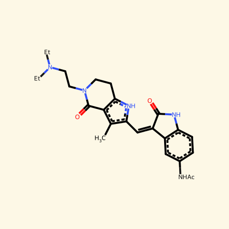 CCN(CC)CCN1CCc2[nH]c(C=C3C(=O)Nc4ccc(NC(C)=O)cc43)c(C)c2C1=O